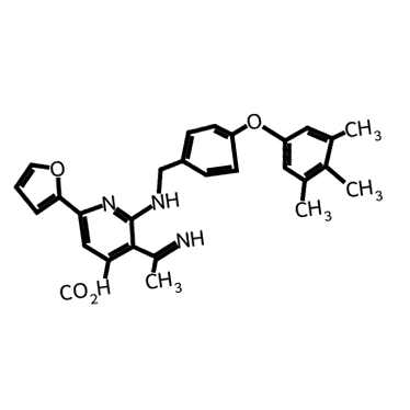 CC(=N)c1c(C(=O)O)cc(-c2ccco2)nc1NCc1ccc(Oc2cc(C)c(C)c(C)c2)cc1